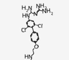 CNCCOc1ccc(-c2c(Cl)cc(NC(N)N=C(N)N)cc2Cl)cc1